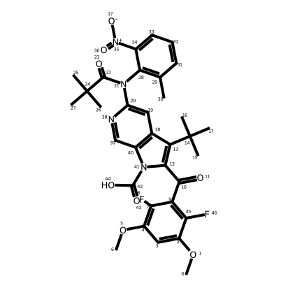 COc1cc(OC)c(F)c(C(=O)c2c(C(C)(C)C)c3cc(N(C(=O)C(C)(C)C)c4c(C)cccc4[N+](=O)[O-])ncc3n2C(=O)O)c1F